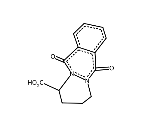 O=C(O)C1CCCn2c(=O)c3ccccc3c(=O)n21